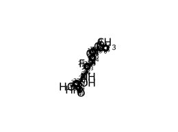 COc1ccccc1CC(=O)N1CCOC2(CCN(Cc3cc(F)cc(CCNC[C@H](O)c4ccc(O)c5[nH]c(=O)sc45)c3)CC2)C1